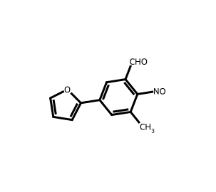 Cc1cc(-c2ccco2)cc(C=O)c1N=O